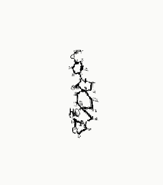 CC(C)Oc1ccc(N2CCC3(CCC(O)(CN4CCOC4=O)CC3)C2=O)cc1